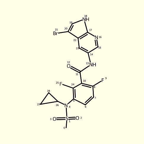 CS(=O)(=O)N(c1ccc(F)c(C(=O)Nc2cnc3[nH]cc(Br)c3c2)c1F)C1CC1